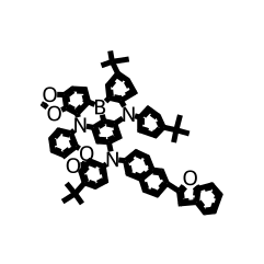 CC(C)(C)c1ccc(N(c2cc3c4c(c2)N(c2cccc5c2OCO5)c2c(ccc5c2OCO5)B4c2cc(C(C)(C)C)ccc2N3c2ccc(C(C)(C)C)cc2)c2ccc3cc(-c4cc5ccccc5o4)ccc3c2)cc1